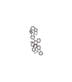 c1ccc2c(c1)-c1ccc(-c3c4ccccc4c(-c4ccc5c(c4)C4(CCc6ccc7ccccc7c64)c4ccccc4-5)c4ncccc34)cc1C21CCc2ccc3ccccc3c21